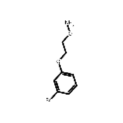 NOCCOc1cccc(Br)c1